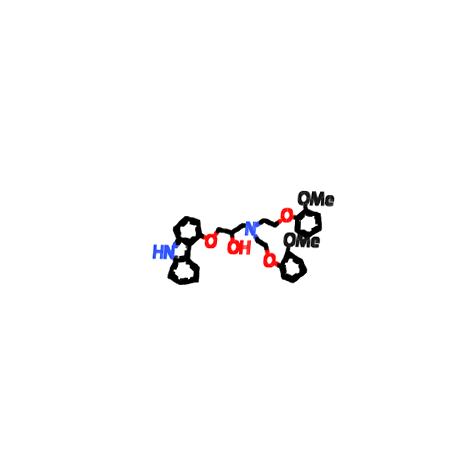 COc1ccccc1OCCN(CCOc1ccccc1OC)CC(O)COc1cccc2[nH]c3ccccc3c12